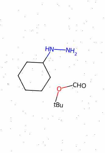 CC(C)(C)OC=O.NNC1CCCCC1